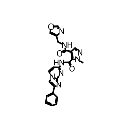 Cn1ncc(C(=O)NCc2cocn2)c1C(=O)Nc1ccn2cc(-c3ccccc3)nc2n1